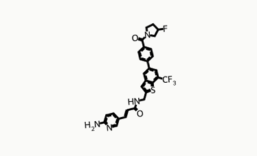 Nc1ccc(/C=C/C(=O)NCc2cc3cc(-c4ccc(C(=O)N5CCC(F)C5)cc4)cc(C(F)(F)F)c3s2)cn1